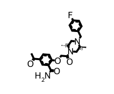 CC(=O)c1ccc(OCC(=O)N2C[C@H](C)N(Cc3ccc(F)cc3)C[C@H]2C)c(C(N)=O)c1